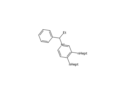 CCCCCCCc1cc[n+](C(CC)c2ccccc2)cc1CCCCCCC